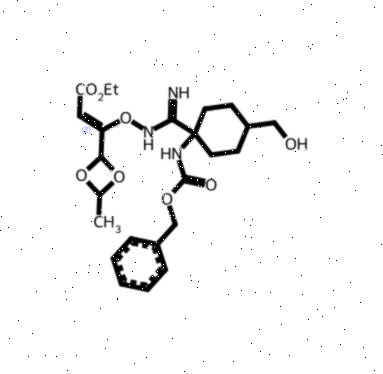 CCOC(=O)/C=C(\ONC(=N)C1(NC(=O)OCc2ccccc2)CCC(CO)CC1)C1OC(C)O1